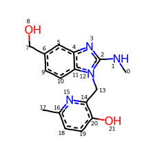 CNc1nc2cc(CO)ccc2n1Cc1nc(C)ccc1O